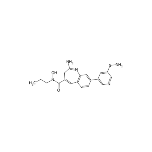 CCCN(O)C(=O)C1=Cc2ccc(-c3cncc(SN)c3)cc2N=C(N)C1